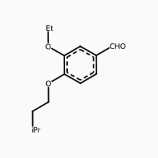 CCOc1cc(C=O)ccc1OCCC(C)C